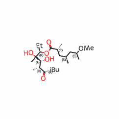 CC[C@@H](C)C(=O)[C@H](C)[C@@H](O)[C@](C)(O)[C@@H](CC)OC(=O)[C@H](C)C[C@H](C)C[C@H](C)OC